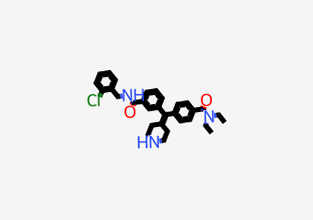 CCN(CC)C(=O)c1ccc(C(=C2CCNCC2)c2cccc(C(=O)NCc3ccccc3Cl)c2)cc1